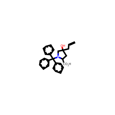 C=CCC1(O)CC(C(=O)O)N(C(c2ccccc2)(c2ccccc2)c2ccccc2)C1